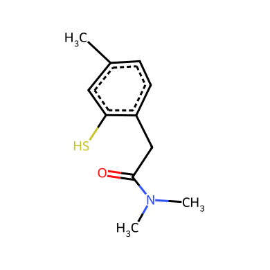 Cc1ccc(CC(=O)N(C)C)c(S)c1